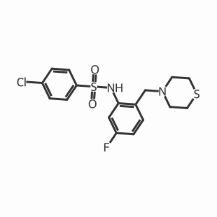 O=S(=O)(Nc1cc(F)ccc1CN1CCSCC1)c1ccc(Cl)cc1